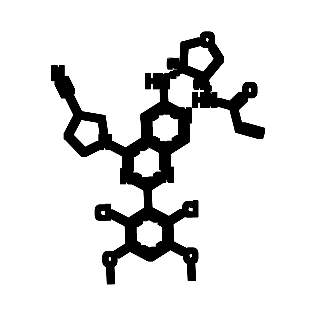 C=CC(=O)N[C@H]1COC[C@H]1Nc1cc2c(N3CCC(C#N)C3)nc(-c3c(Cl)c(OC)cc(OC)c3Cl)nc2cn1